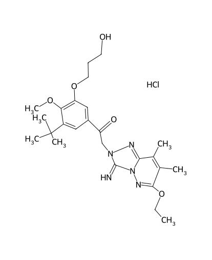 CCOc1nn2c(=N)n(CC(=O)c3cc(OCCCO)c(OC)c(C(C)(C)C)c3)nc2c(C)c1C.Cl